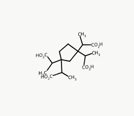 CC(C(=O)O)C1(C(C)C(=O)O)CCC(C(C)C(=O)O)(C(C)C(=O)O)C1